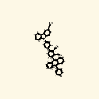 N#Cc1ccc2c(c1)c1ccccc1n2-c1ccc(-c2ccc(-c3c4ccccc4c(-c4ccccc4)c4ccccc34)c(C#N)c2C#N)cc1